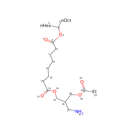 CCCCCCCCC(CCCCCC)OC(=O)CCCCCCC(=O)OCC(CN)COC(=O)CC